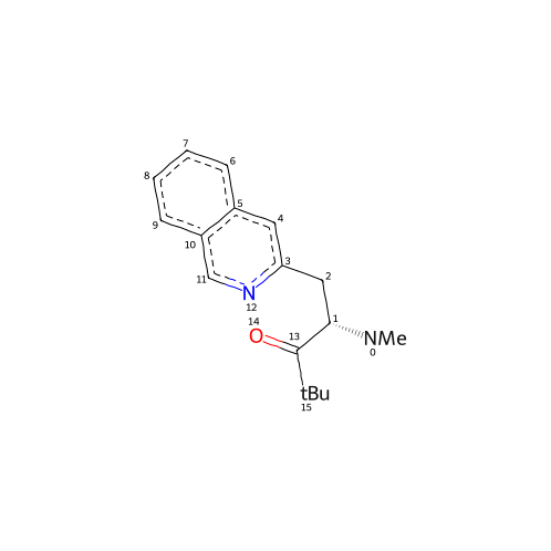 CN[C@@H](Cc1cc2ccccc2cn1)C(=O)C(C)(C)C